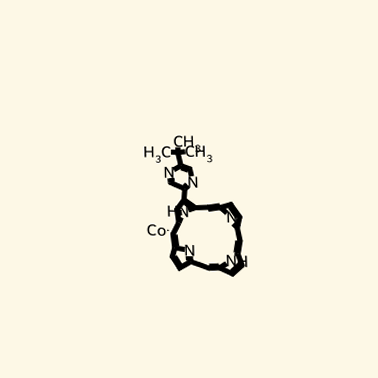 CC(C)(C)c1cnc(-c2cc3cc4nc(cc5ccc(cc6nc(cc2[nH]3)C=C6)[nH]5)C=C4)cn1.[Co]